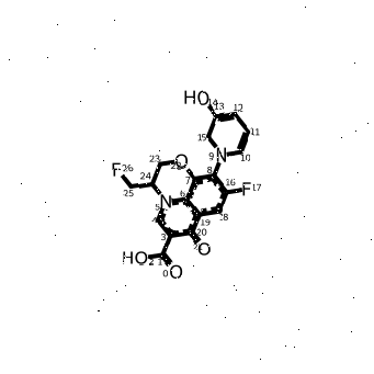 O=C(O)c1cn2c3c(c(N4C=CC=C(O)C4)c(F)cc3c1=O)OCC2CF